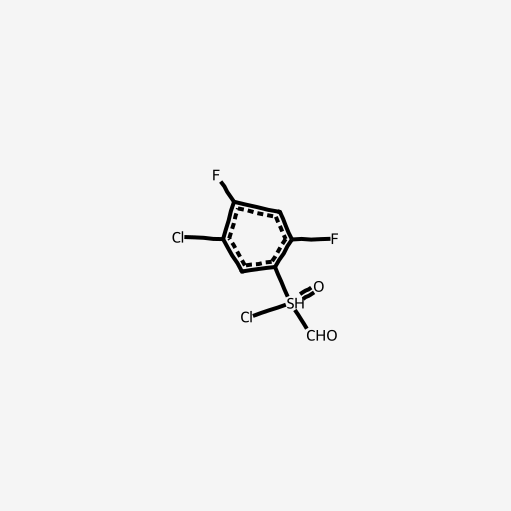 O=C[SH](=O)(Cl)c1cc(Cl)c(F)cc1F